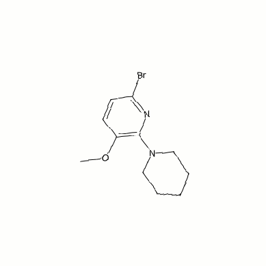 COc1ccc(Br)nc1N1CCCCC1